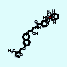 CC(=O)N1[C@@H]2CC[C@H]1C[C@H](Nc1cc(C(=O)NC[C@H](O)CN3CCc4cc(OCc5ocnc5C)ccc4C3)ccn1)C2